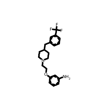 Nc1cccc(OCCN2CCC(Cc3cccc(C(F)(F)F)c3)CC2)c1